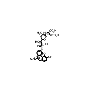 CC[C@]12c3c4ccc(O)c3O[C@H]1C(OC(=O)[C@H](O)[C@@H](O)C(=O)O[C@@H](C)C(=O)N[C@@H](CC(=O)O)C(=O)O)=CC[C@@]2(O)[C@H](NC)C4